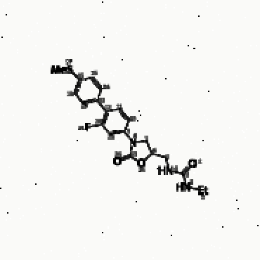 CCNC(=O)NCC1CN(c2ccc(-c3ccc(SC)cc3)c(F)c2)C(=O)O1